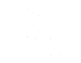 CCOC(=O)C(C)c1nc(-c2ccc3nc(N)n(S(=O)(=O)C(C)C)c3c2)c(-c2ccccc2)n1COCC[Si](C)(C)C